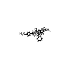 CCc1ccc(-c2cc3n(n2)CC(C)(C(=O)NC2CCCCCC2)N(Cc2cccc(OC)c2)C3=O)cc1